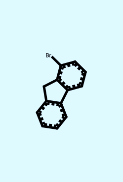 Brc1[c]ccc2c1Cc1ccccc1-2